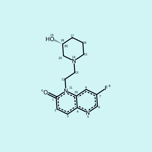 O=c1ccc2ncc(F)cc2n1CCN1CC[CH][C@@H](O)C1